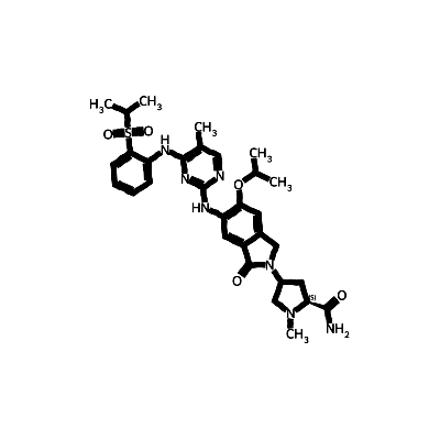 Cc1cnc(Nc2cc3c(cc2OC(C)C)CN(C2C[C@@H](C(N)=O)N(C)C2)C3=O)nc1Nc1ccccc1S(=O)(=O)C(C)C